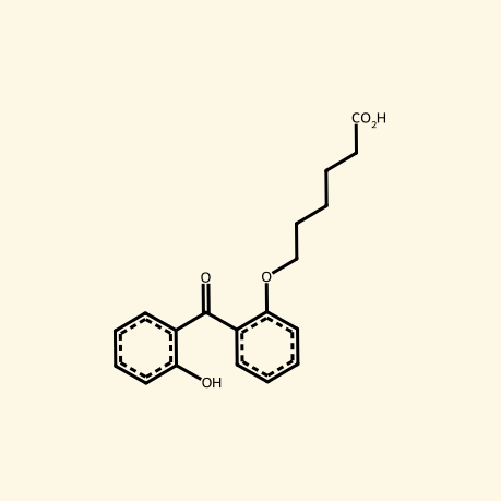 O=C(O)CCCCCOc1ccccc1C(=O)c1ccccc1O